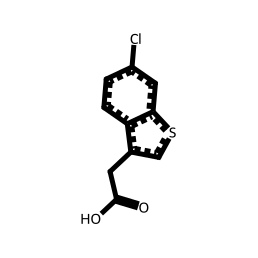 O=C(O)Cc1csc2cc(Cl)ccc12